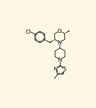 Cc1csc(N2CCC(N3C[C@H](C)OC[C@@H]3Cc3ccc(Cl)cc3)CC2)n1